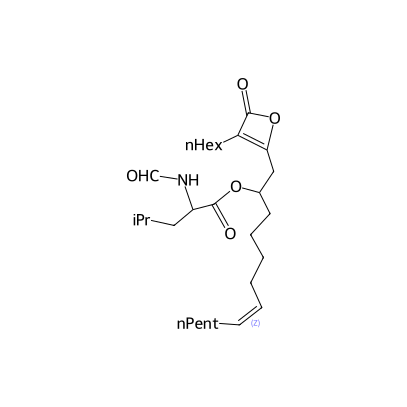 CCCCC/C=C\CCCCC(CC1=C(CCCCCC)C(=O)O1)OC(=O)C(CC(C)C)NC=O